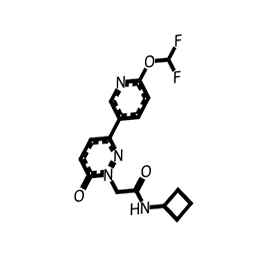 O=C(Cn1nc(-c2ccc(OC(F)F)nc2)ccc1=O)NC1CCC1